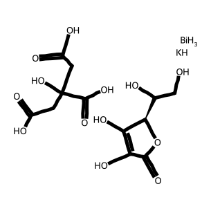 O=C(O)CC(O)(CC(=O)O)C(=O)O.O=C1O[C@H](C(O)CO)C(O)=C1O.[BiH3].[KH]